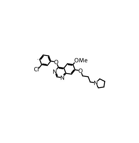 COc1cc2c(Oc3cc[c]c(Cl)c3)ncnc2cc1OCCCN1CCCC1